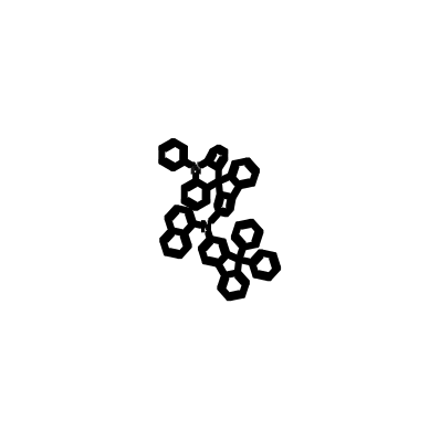 c1ccc(N2c3ccccc3C3(c4ccccc4-c4ccc(N(c5ccc6c(c5)C(c5ccccc5)(c5ccccc5)c5ccccc5-6)c5cccc6ccccc56)cc43)c3ccccc32)cc1